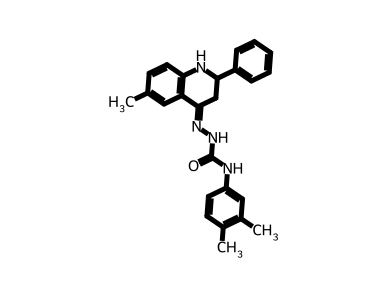 Cc1ccc2c(c1)C(=NNC(=O)Nc1ccc(C)c(C)c1)CC(c1ccccc1)N2